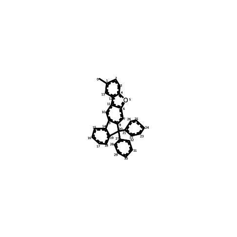 Cc1ccc2oc3cc4c(cc3c2c1)-c1ccccc1C4(c1ccccc1)c1ccccc1